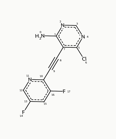 Nc1ncnc(Cl)c1C#Cc1ncc(F)cc1F